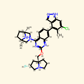 Cc1c(Cl)cc2[nH]ncc2c1-c1ccc2c(N3C[C@H]4CC[C@@H](C3)N4)nc(OC[C@@]34CCCN3C[C@H](F)C4)nc2c1